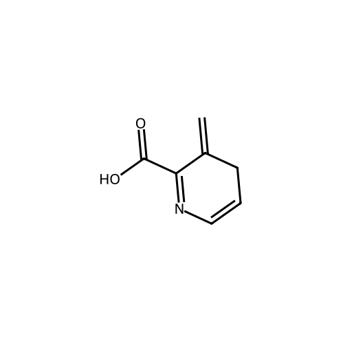 C=C1CC=CN=C1C(=O)O